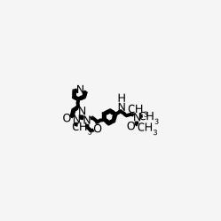 CC(=O)N(C)C(C)CC(=N)c1ccc(C2CN(c3nc(-c4ccncc4)cc(=O)n3C)CCO2)cc1